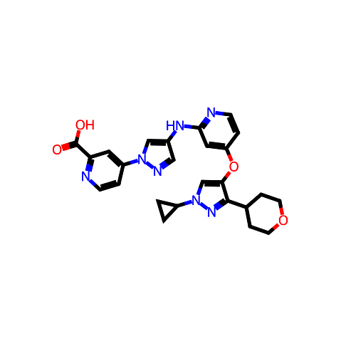 O=C(O)c1cc(-n2cc(Nc3cc(Oc4cn(C5CC5)nc4C4CCOCC4)ccn3)cn2)ccn1